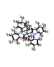 [2H]c1c([2H])c([2H])c(-n2c(C(c3c([2H])c4c([2H])c([2H])c([2H])c([2H])c4n3-c3c([2H])c([2H])c([2H])c([2H])c3[2H])(C([2H])([2H])[2H])C([2H])([2H])[2H])c([2H])c3c([2H])c([2H])c([2H])c([2H])c32)c([2H])c1[2H]